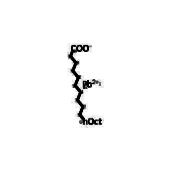 CCCCCCCCCCCCCCCCCC(=O)[O-].[Pb+2]